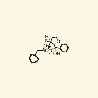 NC1(C(=O)OCCc2ccccc2)CCO[C@@H]1[C@](O)(C(=O)O)c1ccccc1